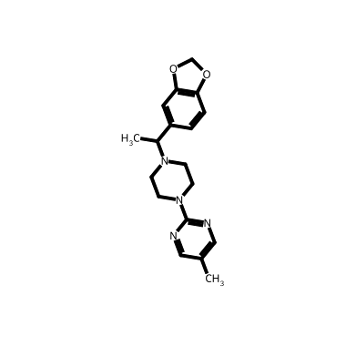 Cc1cnc(N2CCN(C(C)c3ccc4c(c3)OCO4)CC2)nc1